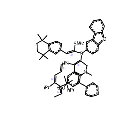 C\C=C(/C(=C\C=C\N/C(C=C(C)C)=C(/CN(C)c1ccc(C(C)(C)C)cc1-c1ccccc1)B(/C(=C/c1ccc2c(c1)C(C)(C)CCC2(C)C)SC)c1ccc2oc3ccccc3c2c1)C(C)C)C(C)(C)CCC